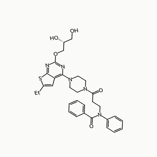 CCc1cc2c(N3CCN(C(=O)CCN(C(=O)c4ccccc4)c4ccccc4)CC3)nc(OC[C@H](O)CO)nc2s1